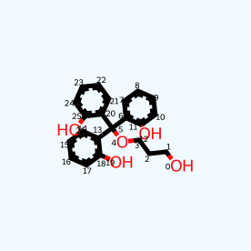 OCCCOC(c1ccccc1O)(c1ccccc1O)c1ccccc1O